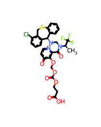 C[C@@H](N1CN([C@@H]2c3ccccc3SCc3c(Cl)cccc32)n2ccc(=O)c(OCOC(=O)OCCC(=O)O)c2C1=O)C(F)(F)F